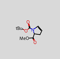 COC(=O)C1CC=CN1C(=O)OC(C)(C)C